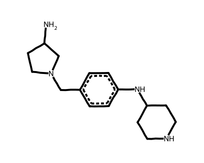 NC1CCN(Cc2ccc(NC3CCNCC3)cc2)C1